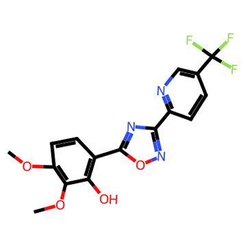 COc1ccc(-c2nc(-c3ccc(C(F)(F)F)cn3)no2)c(O)c1OC